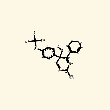 COC1(c2ccc(OC(F)(F)F)cc2)C=NC(N)N=C1C1=CCOC=C1